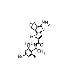 C[C@@H](c1c(F)cc(Br)cc1F)N(C)C(=O)c1cc2nc(N)c3c(c2[nH]1)COC3